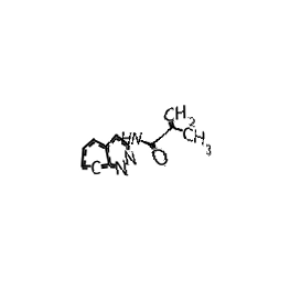 C=C(C)C(=O)Nc1cc2ccccc2nn1